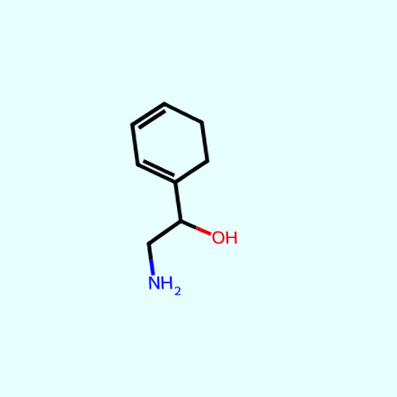 NCC(O)C1=CC=CCC1